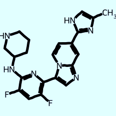 Cc1c[nH]c(-c2ccn3c(-c4nc(NC5CCCNC5)c(F)cc4F)cnc3c2)n1